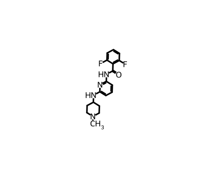 CN1CCC(Nc2cccc(NC(=O)c3c(F)cccc3F)n2)CC1